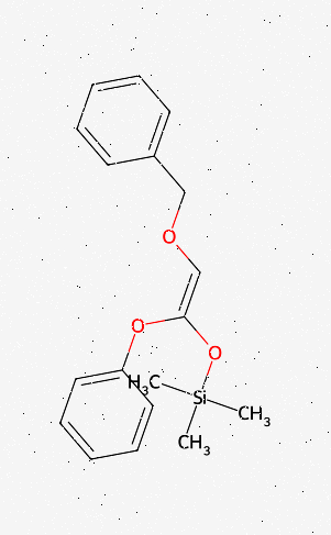 C[Si](C)(C)O/C(=C/OCc1ccccc1)Oc1ccccc1